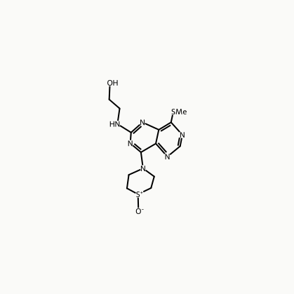 CSc1ncnc2c(N3CC[S+]([O-])CC3)nc(NCCO)nc12